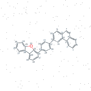 c1ccc2c(c1)ccc1ccc(-c3ccc(-c4cccc5c4oc4ccccc45)cc3)cc12